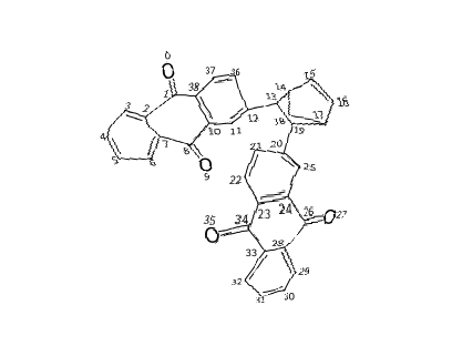 O=C1c2ccccc2C(=O)c2cc(C3C4C=CC(C4)C3c3ccc4c(c3)C(=O)c3ccccc3C4=O)ccc21